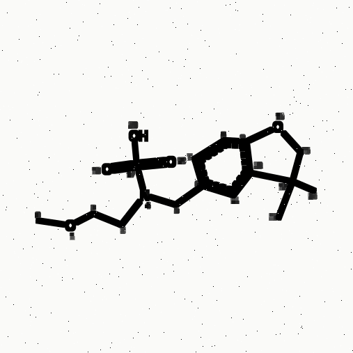 COCCN(Cc1ccc2c(c1)C(C)(C)CO2)S(=O)(=O)O